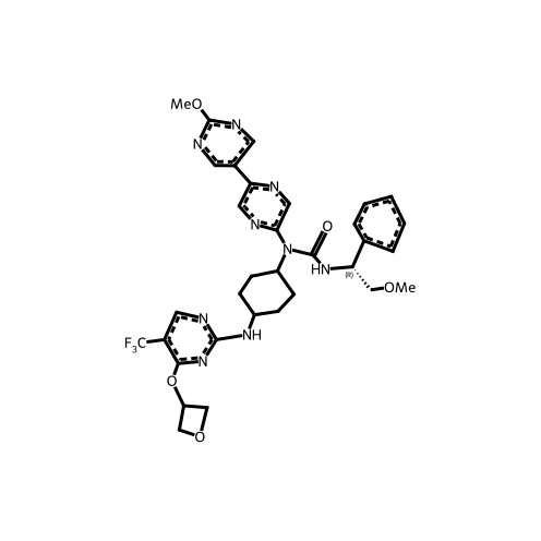 COC[C@H](NC(=O)N(c1cnc(-c2cnc(OC)nc2)cn1)C1CCC(Nc2ncc(C(F)(F)F)c(OC3COC3)n2)CC1)c1ccccc1